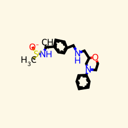 C[C@@H](N[S+](C)[O-])c1ccc(CNCC2CN(c3ccccc3)CCO2)cc1